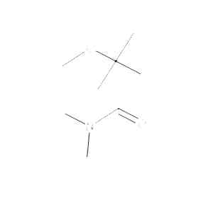 CN(C)C=O.COC(C)(C)C